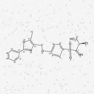 CC[C@@H](C(=N)S(=O)(=O)c1ccc(OCc2nc(-c3ccccc3)oc2C)cc1)C(=O)O